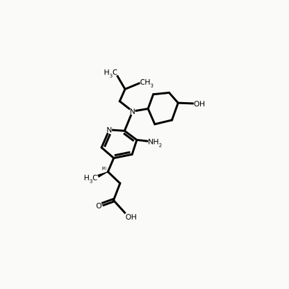 CC(C)CN(c1ncc([C@H](C)CC(=O)O)cc1N)C1CCC(O)CC1